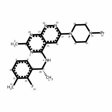 Cc1nc(N[C@H](C)c2cccc(C)c2F)c2cc(N3CCN(C(C)C)CC3)nnc2n1